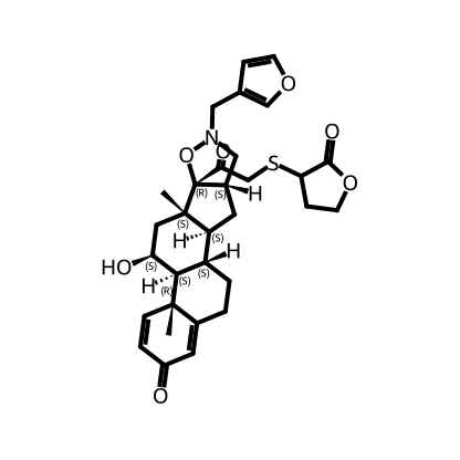 C[C@]12C=CC(=O)C=C1CC[C@@H]1[C@@H]2[C@@H](O)C[C@@]2(C)[C@H]1C[C@H]1CN(Cc3ccoc3)O[C@]12C(=O)CSC1CCOC1=O